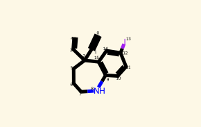 C#CC1(C=C)CCCNc2ccc(I)cc21